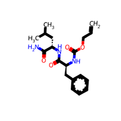 C=CCOC(=O)N[C@@H](Cc1ccccc1)C(=O)N[C@@H](CC(C)C)C(N)=O